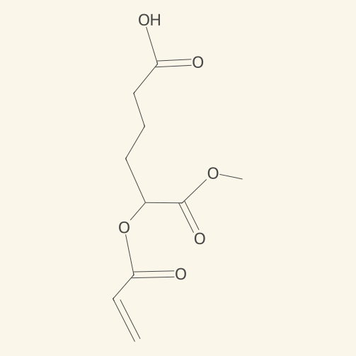 C=CC(=O)OC(CCCC(=O)O)C(=O)OC